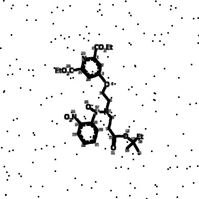 CCOC(=O)c1cc(OCCN(CCC(=O)OC(C)(C)CC)[S+]([O-])c2ccccc2[N+](=O)[O-])cc(C(=O)OCC)n1